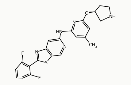 Cc1cc(Nc2cc3nc(-c4c(F)cccc4F)sc3cn2)nc(O[C@H]2CCNC2)c1